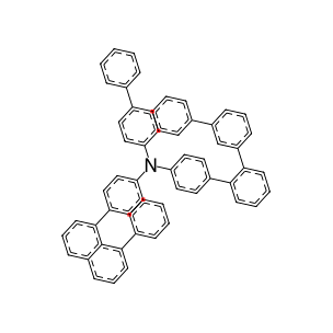 c1ccc(-c2ccc(N(c3ccc(-c4ccccc4-c4cccc(-c5ccccc5)c4)cc3)c3ccc(-c4cccc5cccc(-c6ccccc6)c45)cc3)cc2)cc1